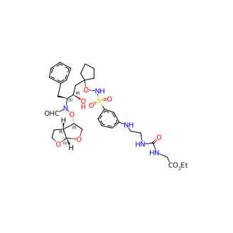 CCOC(=O)CNC(=O)NCCNc1cccc(S(=O)(=O)NOC2(C[C@@H](O)[C@H](Cc3ccccc3)N(C=O)O[C@@H]3CO[C@@H]4OCC[C@@H]43)CCCC2)c1